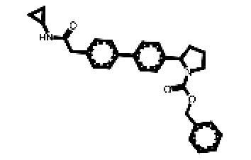 O=C(Cc1ccc(-c2ccc(C3CCCN3C(=O)OCc3ccccc3)cc2)cc1)NC1CC1